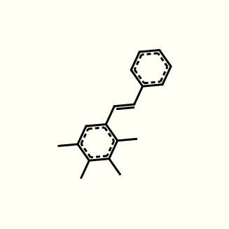 Cc1cc(C=Cc2ccccc2)c(C)c(C)c1C